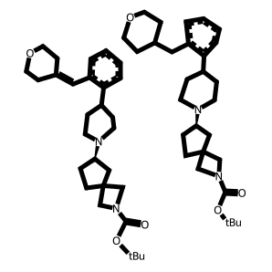 CC(C)(C)OC(=O)N1CC2(CC[C@@H](N3CCC(c4ccccc4C=C4CCOCC4)CC3)C2)C1.CC(C)(C)OC(=O)N1CC2(CC[C@@H](N3CCC(c4ccccc4CC4CCOCC4)CC3)C2)C1